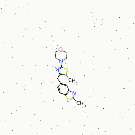 Cc1nc2cc(Cc3nc(N4CCOCC4)sc3C)ccc2s1